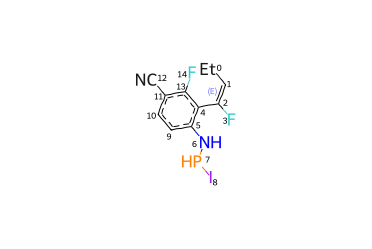 CC/C=C(/F)c1c(NPI)ccc(C#N)c1F